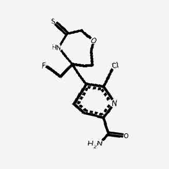 NC(=O)c1[c]cc(C2(CF)COCC(=S)N2)c(Cl)n1